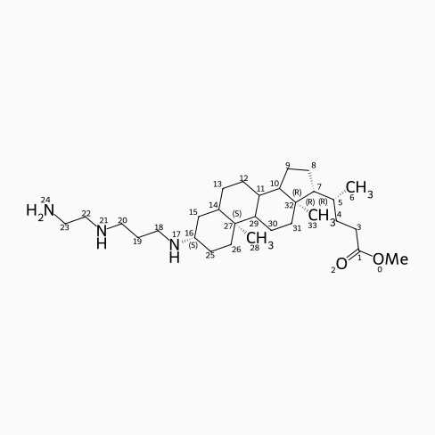 COC(=O)CC[C@@H](C)[C@H]1CCC2C3CCC4C[C@@H](NCCCNCCN)CC[C@]4(C)C3CC[C@@]21C